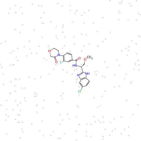 COC[C@H](NC(=O)c1ccc(N2CCOCC2=O)c(F)c1)c1nc2cc(Cl)ccc2[nH]1